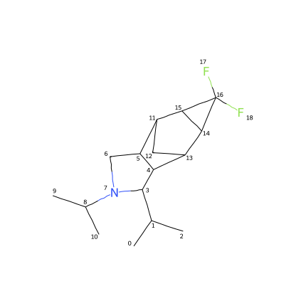 CC(C)C1C2C(CN1C(C)C)C1CC2C2C1C2(F)F